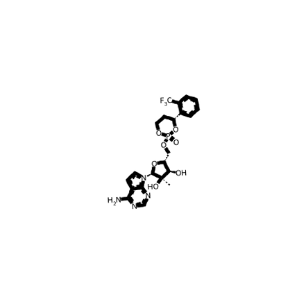 C[C@@]1(O)[C@H](O)[C@@H](COP2(=O)OCC[C@H](c3ccccc3C(F)(F)F)O2)O[C@H]1n1ccc2c(N)ncnc21